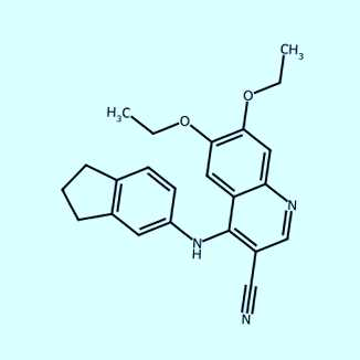 CCOc1cc2ncc(C#N)c(Nc3ccc4c(c3)CCC4)c2cc1OCC